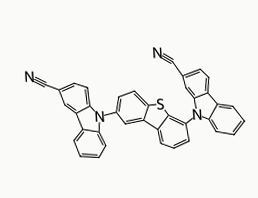 N#Cc1ccc2c(c1)c1ccccc1n2-c1ccc2sc3c(-n4c5ccccc5c5ccc(C#N)cc54)cccc3c2c1